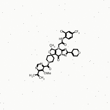 C=C(C)c1ncnc(C(=O)N2CCC3(CC2)O[C@H](C)c2c3c(=O)n3nc(C4=CCOCC4)nc3n2CC(=O)Nc2ccc(C(F)(F)F)cc2Cl)c1OC